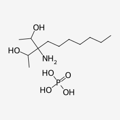 CCCCCCCC(N)(C(C)O)C(C)O.O=P(O)(O)O